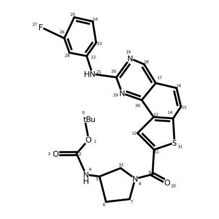 CC(C)(C)OC(=O)NC1CCN(C(=O)c2cc3c(ccc4cnc(Nc5cccc(F)c5)nc43)s2)C1